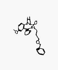 COc1ccc2[nH]c(=O)n(CCCOCc3ccccc3)c(=O)c2c1